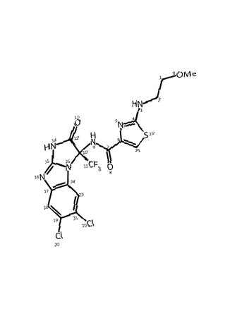 COCCNc1nc(C(=O)NC2(C(F)(F)F)C(=O)Nc3nc4cc(Cl)c(Cl)cc4n32)cs1